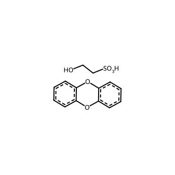 O=S(=O)(O)CCO.c1ccc2c(c1)Oc1ccccc1O2